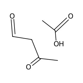 CC(=O)CC=O.CC(=O)O